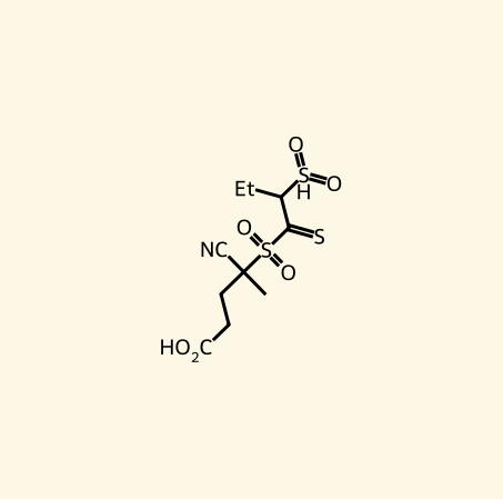 CCC(C(=S)S(=O)(=O)C(C)(C#N)CCC(=O)O)[SH](=O)=O